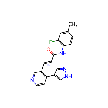 Cc1ccc(NC(=O)/C=C/c2cnccc2-c2cn[nH]c2)c(F)c1